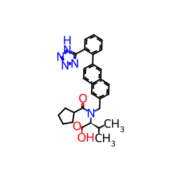 CC(C)[C@@H](C(=O)O)N(Cc1ccc2cc(-c3ccccc3-c3nnn[nH]3)ccc2c1)C(=O)C1CCCC1